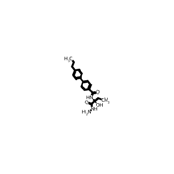 CCCc1ccc(-c2ccc(C(=O)N[C@](O)(CC)C(=O)NN)cc2)cc1